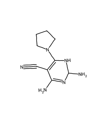 N#CC1=C(N2CCCC2)NC(N)N=C1N